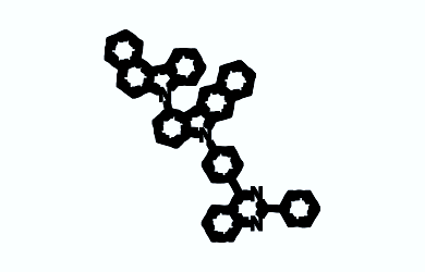 c1ccc(-c2nc(-c3ccc(-n4c5cc6ccccc6cc5c5c(-n6c7ccccc7c7c8ccccc8ccc76)cccc54)cc3)c3ccccc3n2)cc1